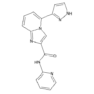 O=C(Nc1ccccn1)c1cn2c(-c3cc[nH]n3)cccc2n1